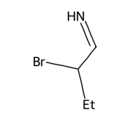 CCC(Br)C=N